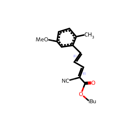 CCC(C)OC(=O)/C(C#N)=C/C=C/c1cc(OC)ccc1C